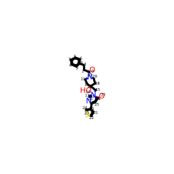 O=C(CCc1ccccc1)N1CCC(O)(Cn2cnc(-c3ccsc3)cc2=O)CC1